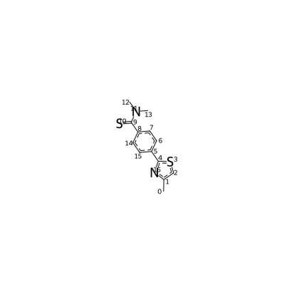 Cc1csc(-c2ccc(C(=S)N(C)C)cc2)n1